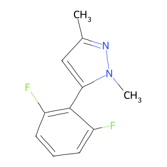 Cc1cc(-c2c(F)cccc2F)n(C)n1